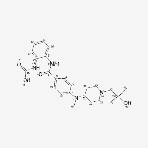 CN(c1ccc(C(=O)Nc2ccccc2NC(=O)O)cc1)C1CCN(CC(C)(C)O)CC1